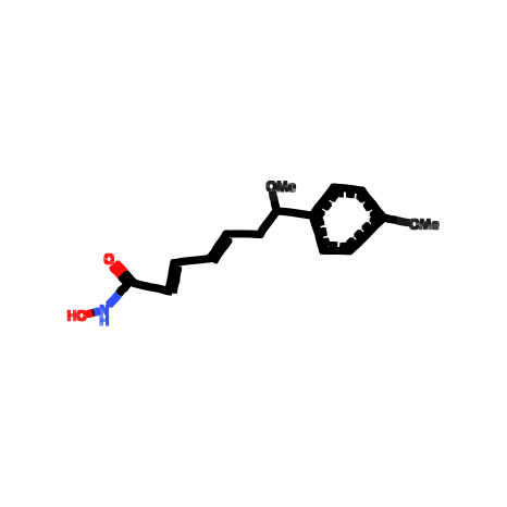 COc1ccc(C(C/C=C/C=C/C(=O)NO)OC)cc1